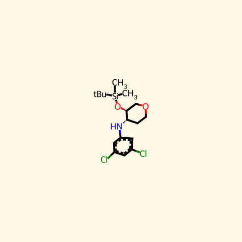 CC(C)(C)[Si](C)(C)O[C@H]1COCC[C@@H]1Nc1cc(Cl)cc(Cl)c1